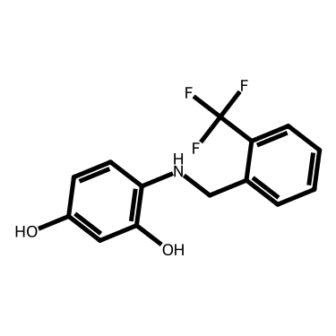 Oc1ccc(NCc2ccccc2C(F)(F)F)c(O)c1